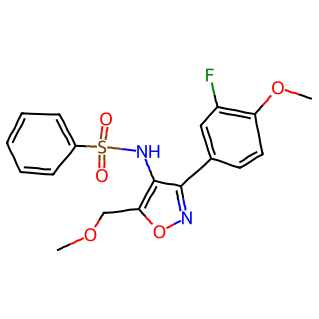 COCc1onc(-c2ccc(OC)c(F)c2)c1NS(=O)(=O)c1ccccc1